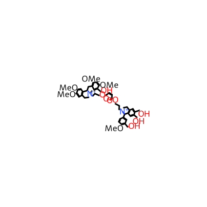 COc1ccc(C2c3cc(CO)c(CO)cc3CC[N+]2(C)CCCOC(=O)/C=C\C(=O)OCCC[N+]2(C)CCc3cc(OC)c(OC)cc3C2Cc2cc(CO)c(OC)c(OC)c2)cc1CO